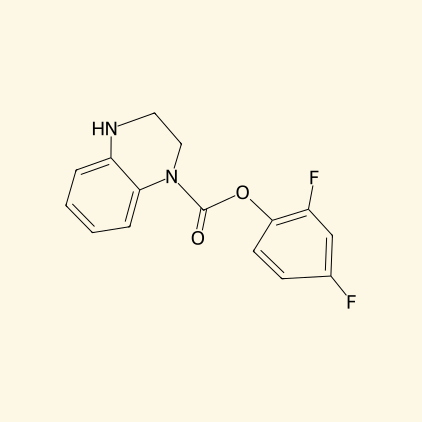 O=C(Oc1ccc(F)cc1F)N1CCNc2ccccc21